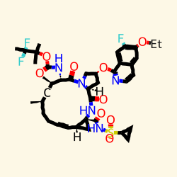 CCOc1cc2ccnc(O[C@@H]3C[C@H]4C(=O)N[C@]5(C(=O)NS(=O)(=O)C6CC6)C[C@H]5/C=C\CC[C@@H](C)C[C@@H](C)[C@H](NC(=O)OC(C)(C)C(C)(F)F)C(=O)N4C3)c2cc1F